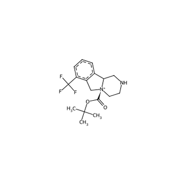 CC(C)(C)OC(=O)[N@+]12CCNCC1c1cccc(C(F)(F)F)c1C2